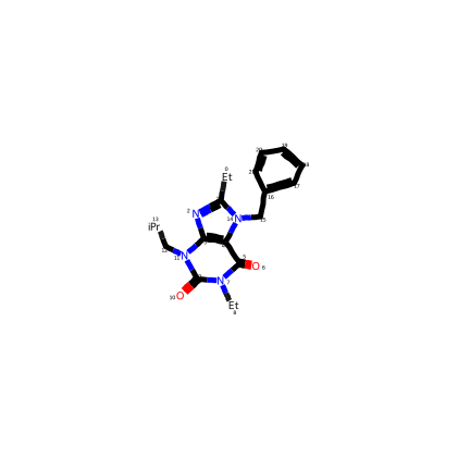 CCc1nc2c(c(=O)n(CC)c(=O)n2CC(C)C)n1Cc1ccccc1